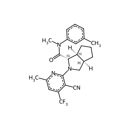 Cc1cccc(N(C)C(=O)[C@@H]2[C@H]3CCC[C@H]3CN2c2nc(C)cc(C(F)(F)F)c2C#N)c1